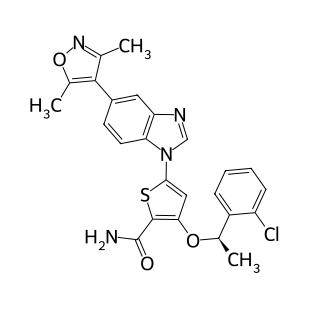 Cc1noc(C)c1-c1ccc2c(c1)ncn2-c1cc(O[C@H](C)c2ccccc2Cl)c(C(N)=O)s1